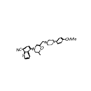 COc1ccc(N2CCN(CC3CN(c4ccc(C#N)c5ncccc45)CC(C)O3)CC2)cc1